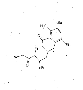 CCCC(CC1CC(=O)c2c(C)c(C(C)(C)C)cc(CC)c2C1)C(CC)C(=O)CC(C)=O